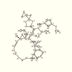 CCc1csc(NC(C(=O)N2CC3(C[C@H]2C(=O)N[C@]24C[C@H]2/C=C\CCCCCNc2ncccc2S(=O)(=O)NC4=O)CC32CC2)C(C)C)n1